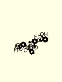 COc1cc(F)c(OCc2ccccc2C(=O)O)cc1C(=O)NC1C2C=CC(C2)C1C(=O)Nc1cccc(S(=O)(=O)C(F)(F)F)c1